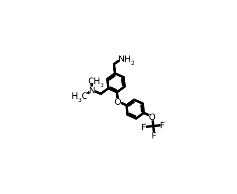 CN(C)Cc1cc(CN)ccc1Oc1ccc(OC(F)(F)F)cc1